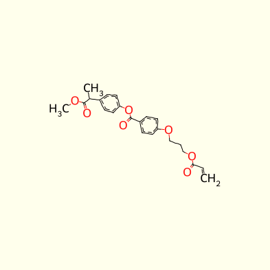 C=CC(=O)OCCCOc1ccc(C(=O)Oc2ccc(C(C)C(=O)OC)cc2)cc1